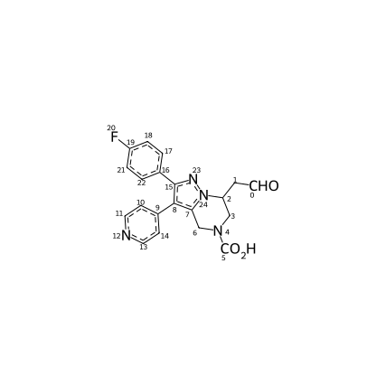 O=CCC1CN(C(=O)O)Cc2c(-c3ccncc3)c(-c3ccc(F)cc3)nn21